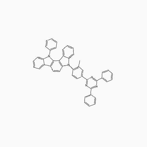 Cc1cc(-c2nc(-c3ccccc3)nc(-c3ccccc3)n2)ccc1-n1c2ccccc2c2c1ccc1c3ccccc3n(-c3ccccc3)c12